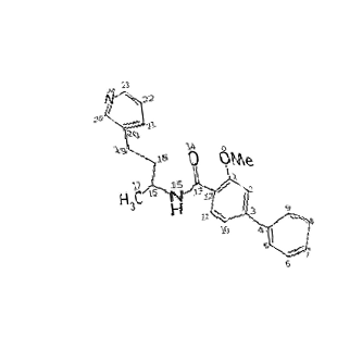 COc1cc(-c2ccccc2)ccc1C(=O)NC(C)CCc1cccnc1